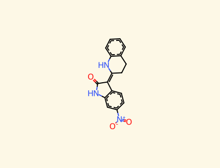 O=C1Nc2cc([N+](=O)[O-])ccc2/C1=C1\CCc2ccccc2N1